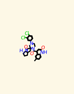 Cc1ccc2[nH]c(=O)cc(C(=O)N3CCN(c4ccc(Cl)c(Cl)c4)CC3(CC3CCCC3)C(N)=O)c2c1